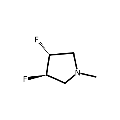 CN1C[C@@H](F)[C@H](F)C1